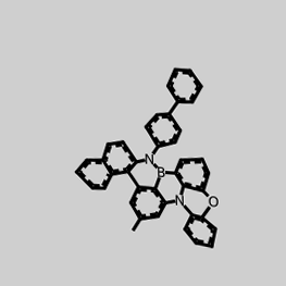 Cc1cc2c3c(c1)N1c4ccccc4Oc4cccc(c41)B3N(c1ccc(-c3ccccc3)cc1)c1ccc3ccccc3c1-2